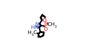 COC(=O)c1c(-c2ccco2)n[nH]c1-c1ccccc1C